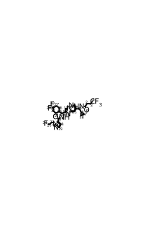 O=C(CCC(F)(F)F)NC(c1cnn2cc([C@@H](NC(=O)c3ccnn3CCF)C3CCC(F)(F)CC3)nc2c1)C1CC1